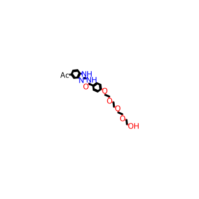 CC(=O)c1ccc2[nH]c(NC(=O)c3ccc(OCCOCCOCCOCCO)cc3)nc2c1